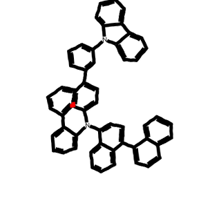 c1ccc(-c2ccccc2N(c2ccc(-c3cccc(-n4c5ccccc5c5ccccc54)c3)cc2)c2ccc(-c3cccc4ccccc34)c3ccccc23)cc1